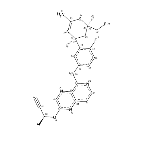 C#C[C@H](C)Oc1cnc2c(Nc3ccc(F)c([C@]4(C)C[C@](C)(CF)SC(N)=N4)c3)nccc2n1